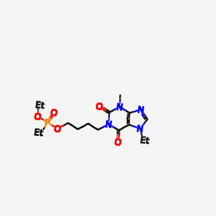 CCOP(=O)(CC)OCCCCn1c(=O)c2c(ncn2CC)n(C)c1=O